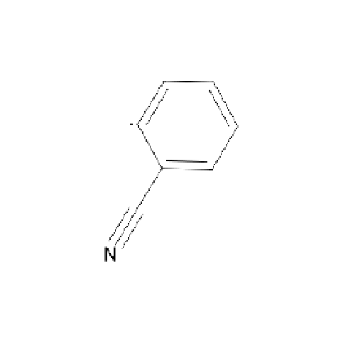 N#Cc1[c]cccc1